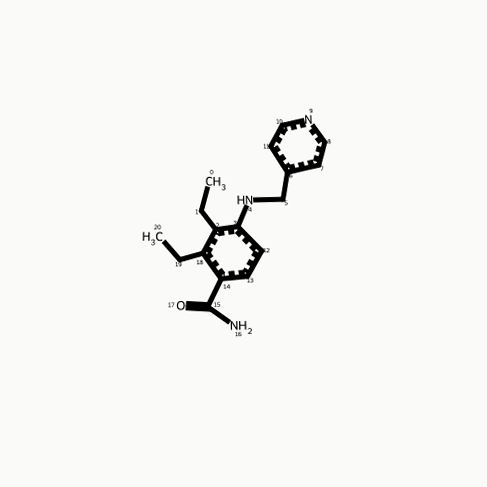 CCc1c(NCc2ccncc2)ccc(C(N)=O)c1CC